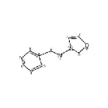 C1=CN([N]Cc2ccccc2)CO1